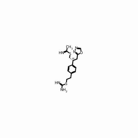 CC(=N)SC[C@H](Cc1nnco1)c1ccc(CCSC(=N)N)cc1